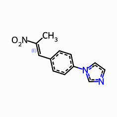 C/C(=C\c1ccc(-n2ccnc2)cc1)[N+](=O)[O-]